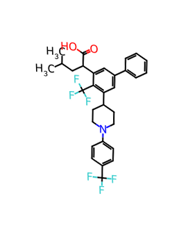 CC(C)CC(C(=O)O)c1cc(-c2ccccc2)cc(C2CCN(c3ccc(C(F)(F)F)cc3)CC2)c1C(F)(F)F